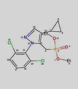 CCOP(=O)(Cc1c(C2CC2)cnn1-c1c(Cl)cccc1Cl)OCC